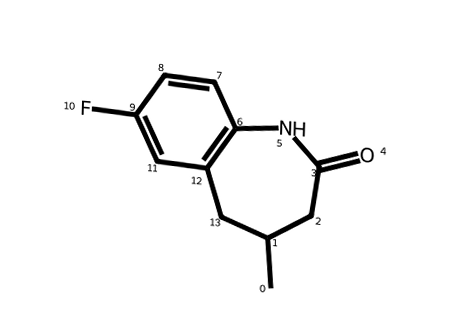 CC1CC(=O)Nc2ccc(F)cc2C1